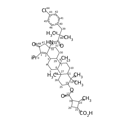 CC(C)C1=C2C3CCC4C(C)(CCC5C(C)(C)C(OC(=O)C6CC(C(=O)O)C6C)CCC54C)C3CCC2(NC(=O)C(C)(C)Cc2ccc(Cl)cc2)CC1=O